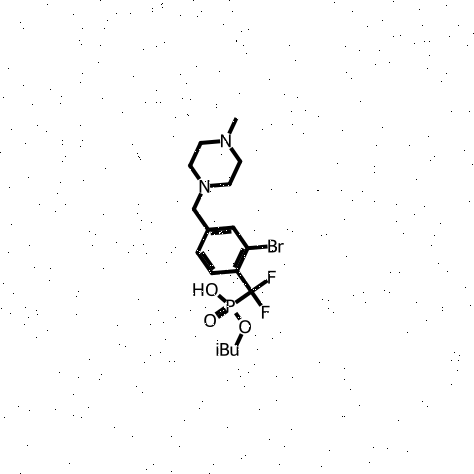 CCC(C)OP(=O)(O)C(F)(F)c1ccc(CN2CCN(C)CC2)cc1Br